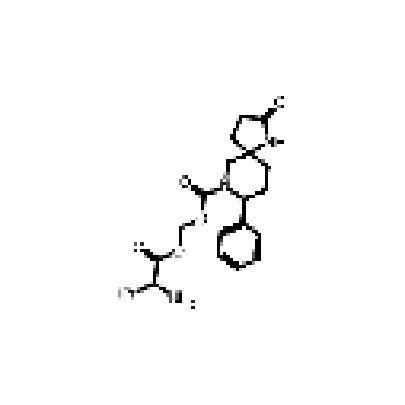 CC(C)C(N)C(=O)OCOC(=O)N1CC2(CCC(=O)N2)CCC1c1ccccc1